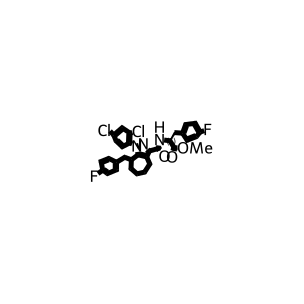 COC(=O)[C@H](Cc1ccc(F)cc1)NC(=O)c1nn(-c2ccc(Cl)cc2Cl)c2c1CCCCC2Cc1ccc(F)cc1